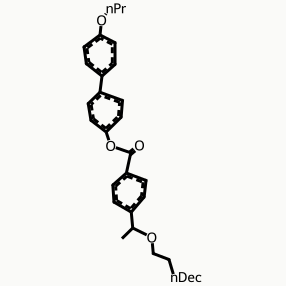 CCCCCCCCCCCCOC(C)c1ccc(C(=O)Oc2ccc(-c3ccc(OCCC)cc3)cc2)cc1